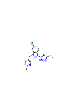 Cc1ncc(Cn2nc(-c3nc(C(F)(F)F)n[nH]3)c3ccc(Cl)cc32)cn1